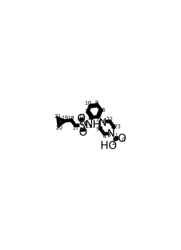 O=C(O)N1CCN(c2ccccc2NS(=O)(=O)CCC2CC2)CC1